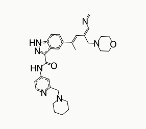 C=N/C=C(\C=C(/C)c1ccc2[nH]nc(C(=O)Nc3ccnc(CN4CCCCC4)c3)c2c1)CN1CCOCC1